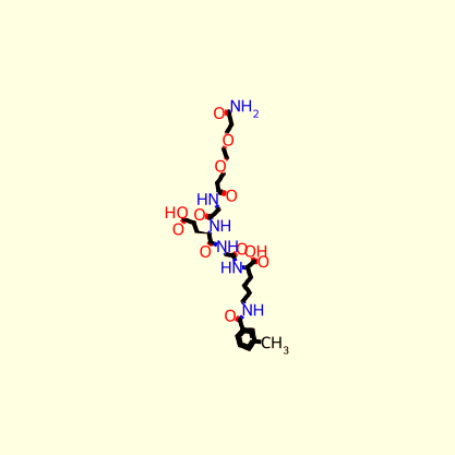 Cc1cccc(C(=O)NCCCCC(NC(=O)CNC(=O)[C@@H](CCC(=O)O)NC(=O)CNC(=O)CCOCCOCCC(N)=O)C(=O)O)c1